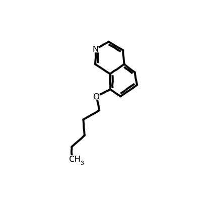 CCCCCOc1cccc2ccncc12